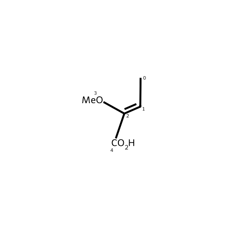 C/C=C(\OC)C(=O)O